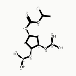 CC(Cl)OC(=O)O[C@@H]1C[C@H](ON(O)O)[C@H](ON(O)O)C1